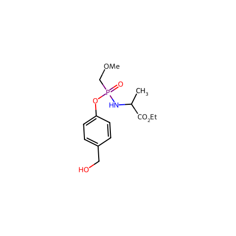 CCOC(=O)C(C)NP(=O)(COC)Oc1ccc(CO)cc1